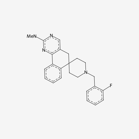 CNc1ncc2c(n1)-c1ccccc1C1(CCN(Cc3ccccc3F)CC1)C2